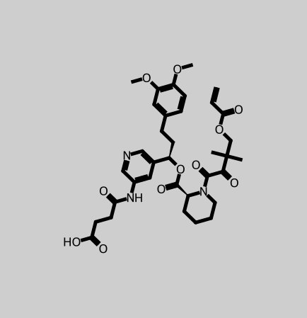 C=CC(=O)OCC(C)(C)C(=O)C(=O)N1CCCC[C@H]1C(=O)O[C@H](CCc1ccc(OC)c(OC)c1)c1cncc(NC(=O)CCC(=O)O)c1